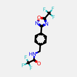 O=C(NCc1ccc(-c2noc(C(F)(F)F)n2)cc1)C(F)(F)F